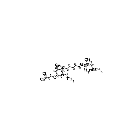 CCc1cc(OCC=C(Cl)Cl)cc(C)c1OCCCCCO/N=C(\C)CC(C)C